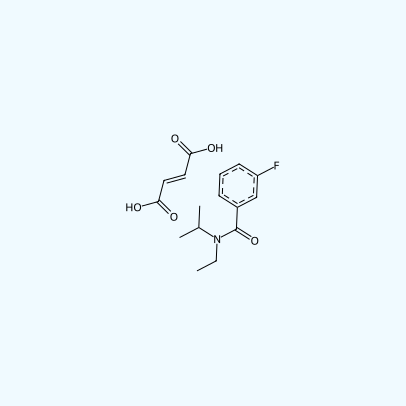 CCN(C(=O)c1cccc(F)c1)C(C)C.O=C(O)/C=C/C(=O)O